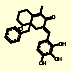 CC1=C2CCC[C@H](O)[C@@]2(Cc2ccccc2)C/C(=C\c2ccc(O)c(O)c2O)C1=O